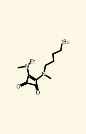 CCN(C)c1c(N(C)CCCCC(C)(C)C)c(=O)c1=O